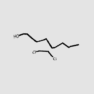 CCCCCCCO.ClCCl